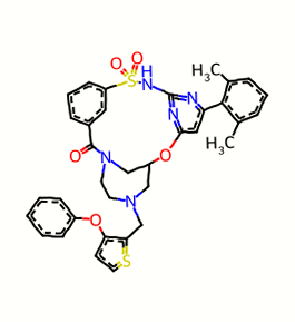 Cc1cccc(C)c1-c1cc2nc(n1)NS(=O)(=O)c1cccc(c1)C(=O)N1CCN(Cc3sccc3Oc3ccccc3)CC(C1)O2